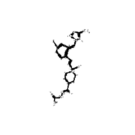 Cc1nnn(Cc2cc(Cl)ccc2C=CC(=O)N2CCC(C(=O)NNC(=O)O)CC2)n1